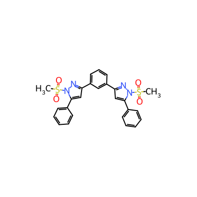 CS(=O)(=O)n1nc(-c2cccc(-c3cc(-c4ccccc4)n(S(C)(=O)=O)n3)c2)cc1-c1ccccc1